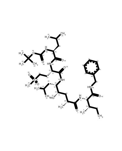 CC[C@H](C)[C@H](NC(=O)[C@H](C)C[C@H](O)[C@H](CC(C)C)NC(=O)[C@H](CCS(C)(=O)=O)NC(=O)[C@H](CC(C)C)NC(=O)OC(C)(C)C)C(=O)NCc1ccccc1